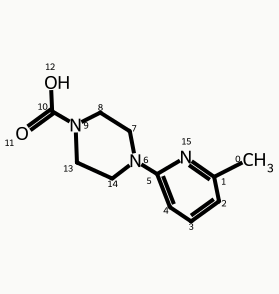 Cc1cccc(N2CCN(C(=O)O)CC2)n1